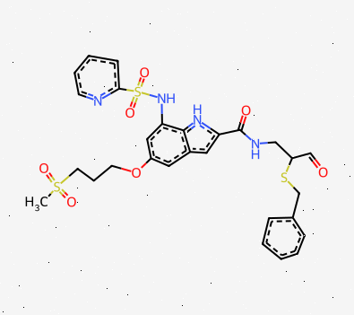 CS(=O)(=O)CCCOc1cc(NS(=O)(=O)c2ccccn2)c2[nH]c(C(=O)NCC(C=O)SCc3ccccc3)cc2c1